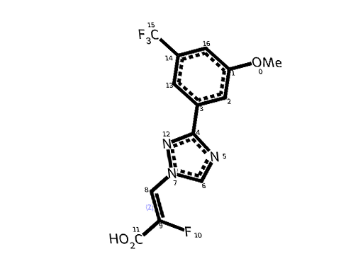 COc1cc(-c2ncn(/C=C(\F)C(=O)O)n2)cc(C(F)(F)F)c1